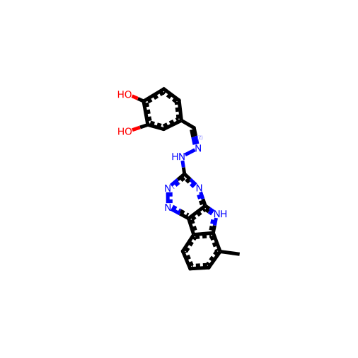 Cc1cccc2c1[nH]c1nc(N/N=C\c3ccc(O)c(O)c3)nnc12